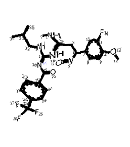 CNC(CC(N=O)c1ccc(OC)c(F)c1)N/C(=N\C(=O)c1ccc(C(F)(F)F)cc1)NCC(C)C